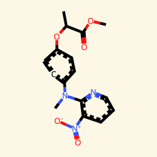 COC(=O)C(C)Oc1ccc(N(C)c2ncccc2[N+](=O)[O-])cc1